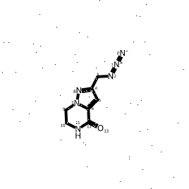 [N-]=[N+]=NCc1cc2n(n1)CCNC2=O